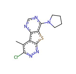 Cc1c(Cl)nnc2sc3c(N4CCCC4)ncnc3c12